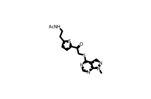 CC(=O)NCCc1ccc(C(=O)CSc2ncnc3c2cnn3C)s1